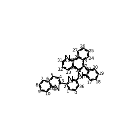 c1cc(-c2ccc3ccccc3n2)nc(-n2c3ccccc3c3c4ccccc4c4ncccc4c32)c1